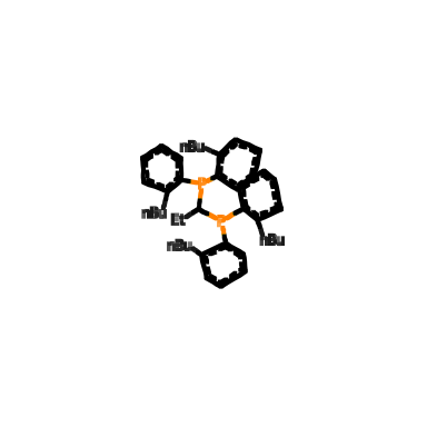 CCCCc1ccccc1P(c1ccccc1CCCC)C(CC)P(c1ccccc1CCCC)c1ccccc1CCCC